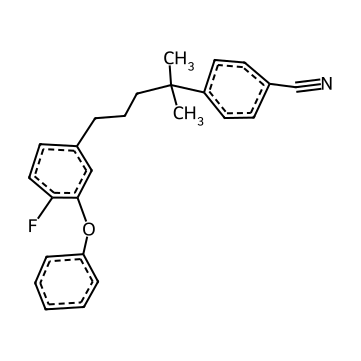 CC(C)(CCCc1ccc(F)c(Oc2ccccc2)c1)c1ccc(C#N)cc1